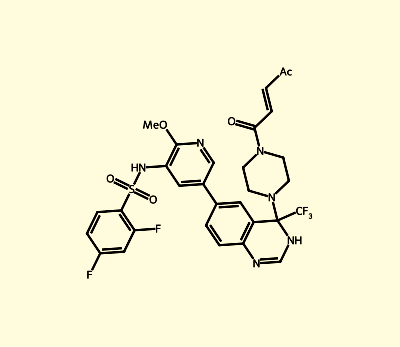 COc1ncc(-c2ccc3c(c2)C(N2CCN(C(=O)/C=C/C(C)=O)CC2)(C(F)(F)F)NC=N3)cc1NS(=O)(=O)c1ccc(F)cc1F